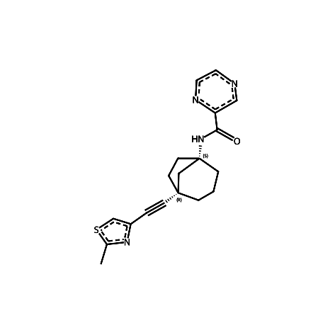 Cc1nc(C#C[C@]23CCC[C@](NC(=O)c4cnccn4)(CC2)C3)cs1